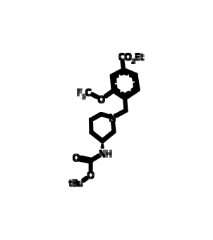 CCOC(=O)c1ccc(CN2CCC[C@@H](NC(=O)OC(C)(C)C)C2)c(OC(F)(F)F)c1